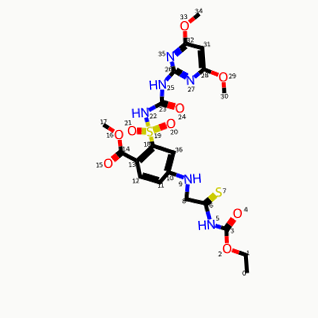 CCOC(=O)NC(=S)CNc1ccc(C(=O)OC)c(S(=O)(=O)NC(=O)Nc2nc(OC)cc(OC)n2)c1